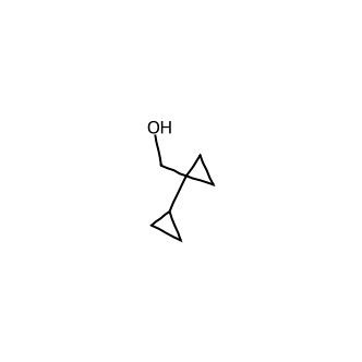 OCC1(C2CC2)CC1